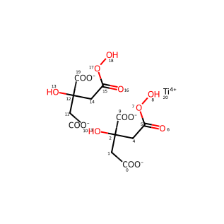 O=C([O-])CC(O)(CC(=O)OO)C(=O)[O-].O=C([O-])CC(O)(CC(=O)OO)C(=O)[O-].[Ti+4]